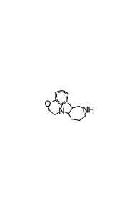 c1cc2c3c(c1)C1CNCCCC1N3CCO2